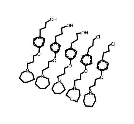 ClCCCc1ccc(OCCCN2CCCCCC2)cc1.ClCCCc1ccc(OCCCN2CCCCCC2)cc1.OCCCc1ccc(OCCCN2CCCCCC2)cc1.OCCCc1ccc(OCCCN2CCCCCC2)cc1.OCCCc1ccc(OCCCN2CCCCCC2)cc1